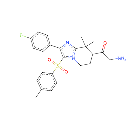 Cc1ccc(S(=O)(=O)c2c(-c3ccc(F)cc3)nc3n2CCC(C(=O)CN)C3(C)C)cc1